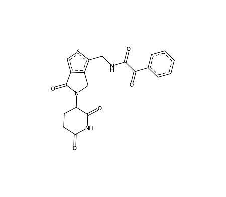 O=C1CCC(N2Cc3c(csc3CNC(=O)C(=O)c3ccccc3)C2=O)C(=O)N1